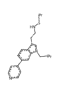 CC(C)Cn1cc(CCNSC(C)C)c2ccc(-c3ccncc3)cc21